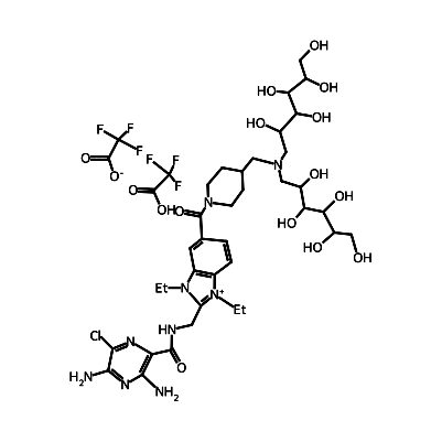 CCn1c(CNC(=O)c2nc(Cl)c(N)nc2N)[n+](CC)c2ccc(C(=O)N3CCC(CN(CC(O)C(O)C(O)C(O)CO)CC(O)C(O)C(O)C(O)CO)CC3)cc21.O=C(O)C(F)(F)F.O=C([O-])C(F)(F)F